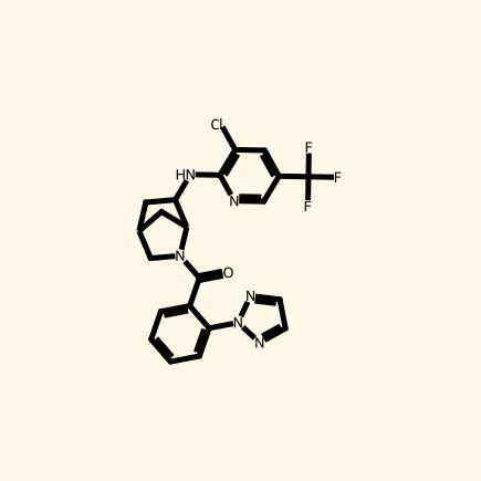 O=C(c1ccccc1-n1nccn1)N1CC2CC(Nc3ncc(C(F)(F)F)cc3Cl)C1C2